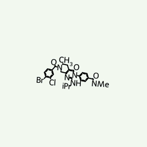 CNC(=O)c1ccc(-n2c(NC(C)C)nc3c(c2=O)C[C@@H](C)N(C(=O)c2ccc(Br)c(Cl)c2)C3)cc1